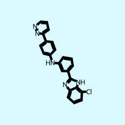 Clc1cccc2nc(-c3cccc(Nc4ccc(-c5cccnn5)cc4)c3)[nH]c12